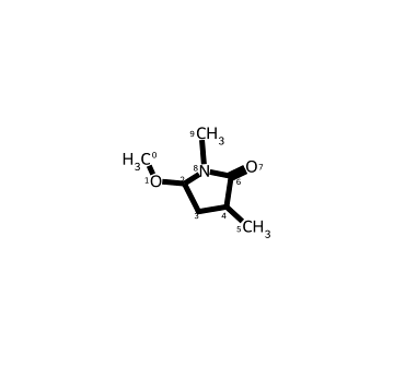 COC1CC(C)C(=O)N1C